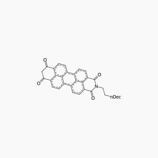 CCCCCCCCCCCCN1C(=O)c2ccc3c4ccc5c6c(ccc(c7ccc(c2c37)C1=O)c64)C(=O)CC5=O